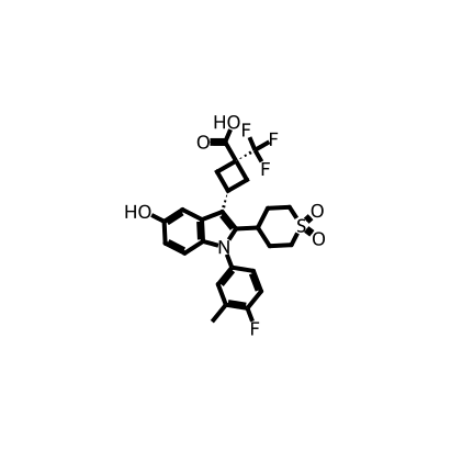 Cc1cc(-n2c(C3CCS(=O)(=O)CC3)c([C@H]3C[C@@](C(=O)O)(C(F)(F)F)C3)c3cc(O)ccc32)ccc1F